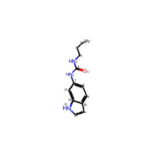 CC(C)CCNC(=O)Nc1ccc2cc[nH]c2c1